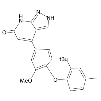 COc1cc(-c2cc(=O)[nH]c3n[nH]cc23)ccc1Oc1ccc(C)cc1C(C)(C)C